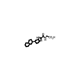 O=C(O)CNC(=O)c1nc2ccc(-c3ccc4ccccc4c3)cc2[nH]1